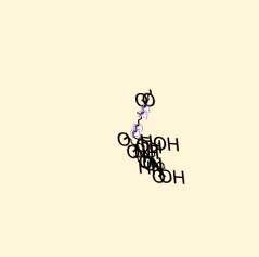 C=CCOC(=O)/C=C/C=C(\C)CC/C=C/C=C/CC(C)C(O)C(CCC(C)=O)C(=O)NC(C(=O)NC(Cc1cc(O)cc(F)c1)C(=O)N1CCCC(C(=O)O)N1)C(C)C